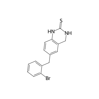 S=C1NCc2cc(Cc3ccccc3Br)ccc2N1